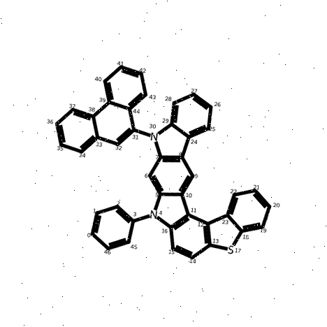 c1ccc(-n2c3cc4c(cc3c3c5c(ccc32)sc2ccccc25)c2ccccc2n4-c2cc3ccccc3c3ccccc23)cc1